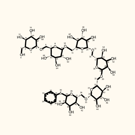 OC[C@H]1O[C@@H](OC[C@H]2OC(OC[C@H]3O[C@@H](OC[C@H]4OC(OC[C@H]5O[C@@H](OC[C@H]6OC(Sc7ccccc7)[C@H](O)C(O)[C@@H]6O)C(O)[C@@H](O)[C@@H]5O)[C@H](O)C(O)[C@@H]4O)C(O)[C@@H](O)[C@@H]3O)[C@H](O)[C@@H](O)[C@@H]2O)C(O)[C@@H](O)[C@@H]1O